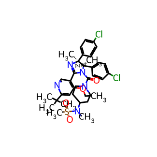 CCOc1cc(C(C)(C)C)ncc1C1=N[C@@](C)(c2ccc(Cl)cc2)[C@@](C)(c2ccc(Cl)cc2)N1C(=O)N1CCC(N(C)S(C)(=O)=O)CC1